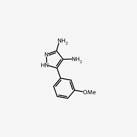 COc1cccc(-c2[nH]nc(N)c2N)c1